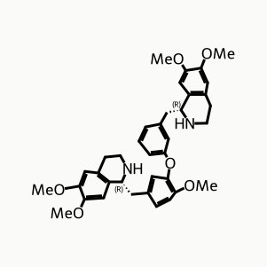 COc1cc2c(cc1OC)[C@@H](Cc1cccc(Oc3cc(C[C@H]4NCCc5cc(OC)c(OC)cc54)ccc3OC)c1)NCC2